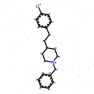 Clc1ccc(CCC2CCN(Cc3ccccc3)CC2)cc1